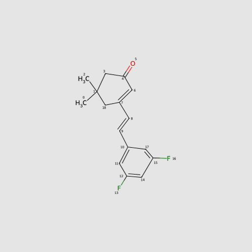 CC1(C)CC(=O)C=C(C=Cc2cc(F)cc(F)c2)C1